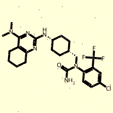 CN(C)c1nc(N[C@H]2CC[C@@H](CN(C(N)=O)c3ccc(Cl)cc3C(F)(F)F)CC2)nc2c1CCCC2